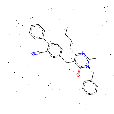 CCCCc1nc(C)n(Cc2ccccc2)c(=O)c1Cc1ccc(-c2ccccc2)c(C#N)c1